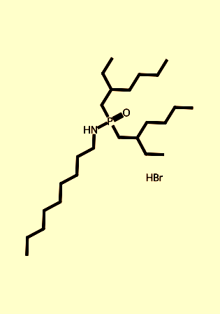 Br.CCCCCCCCCNP(=O)(CC(CC)CCCC)CC(CC)CCCC